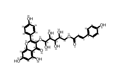 O=C(/C=C/c1ccc(O)cc1)OCC(O)C(O)C(O)C(O)Oc1c(-c2ccc(O)cc2)oc2cc(O)cc(O)c2c1=O